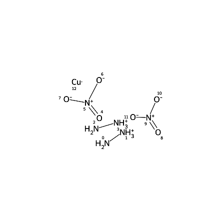 N[NH3+].N[NH3+].O=[N+]([O-])[O-].O=[N+]([O-])[O-].[Cu]